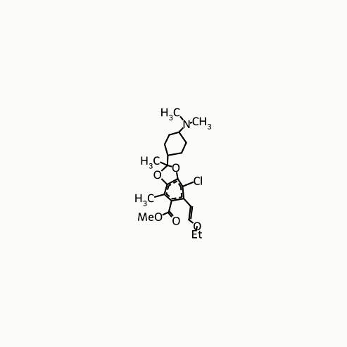 CCOC=Cc1c(Cl)c2c(c(C)c1C(=O)OC)OC(C)(C1CCC(N(C)C)CC1)O2